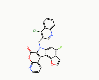 O=c1oc2ncccc2c2c3c4occc4c(F)cc3n(Cc3cnc4ccccc4c3Cl)c12